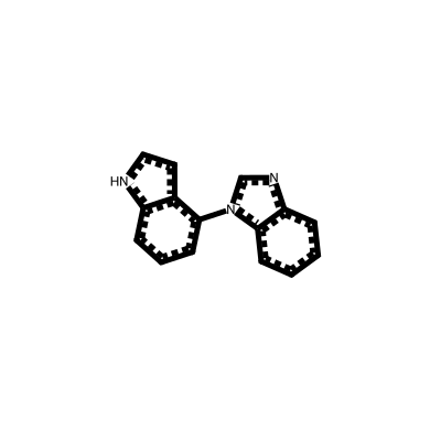 c1ccc2c(c1)ncn2-c1cccc2[nH]ccc12